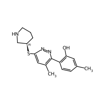 Cc1ccc(-c2nnc(S[C@@H]3CCCNC3)cc2C)c(O)c1